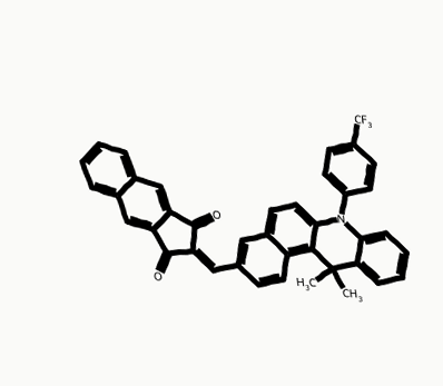 CC1(C)c2ccccc2N(c2ccc(C(F)(F)F)cc2)c2ccc3cc(C=C4C(=O)c5cc6ccccc6cc5C4=O)ccc3c21